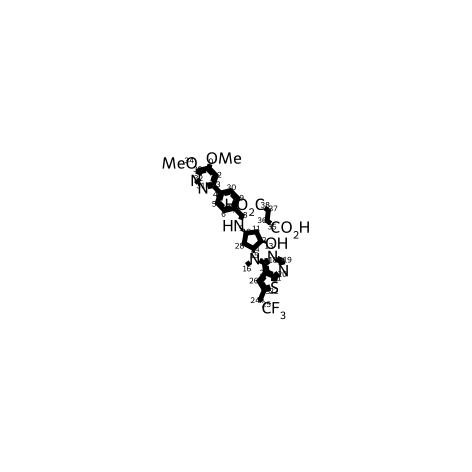 COc1cc(-c2ccc(CN[C@H]3C[C@@H](O)[C@@H](N(C)c4ncnc5sc(CC(F)(F)F)cc45)C3)cc2)nnc1OC.O=C(O)CCC(=O)O